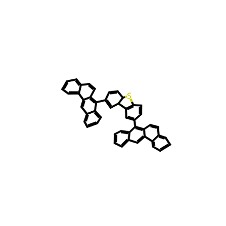 C1=CC2Sc3ccc(-c4c5ccccc5cc5c4ccc4ccccc45)cc3C2C=C1c1c2ccccc2cc2c1ccc1ccccc12